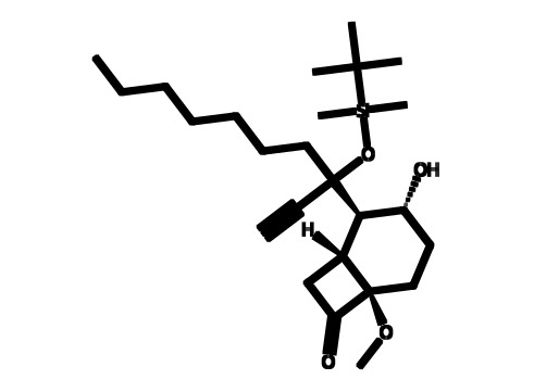 C#CC(CCCCCCC)(O[Si](C)(C)C(C)(C)C)[C@H]1[C@H](O)CC[C@]2(OC)C(=O)C[C@H]12